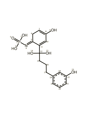 O=P(O)(O)N=C1CC=C(O)C=C1C(O)(O)CCCc1cccc(O)c1